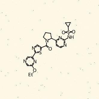 CCOc1cncc(-c2ncc(C(=O)N3CCCC3c3ccnc(NS(=O)(=O)C4CC4)n3)s2)n1